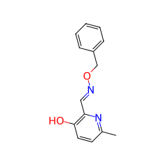 Cc1ccc(O)c(C=NOCc2ccccc2)n1